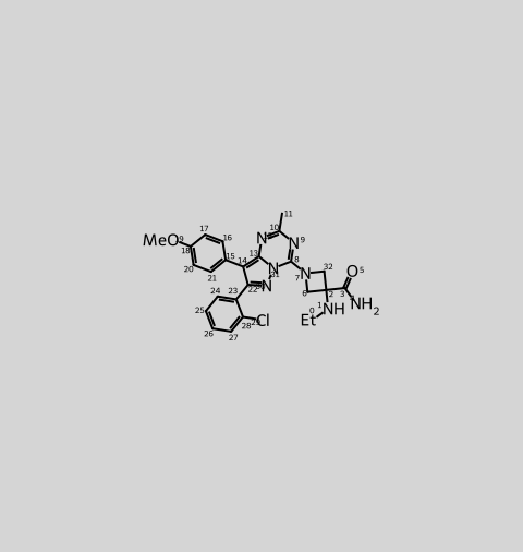 CCNC1(C(N)=O)CN(c2nc(C)nc3c(-c4ccc(OC)cc4)c(-c4ccccc4Cl)nn23)C1